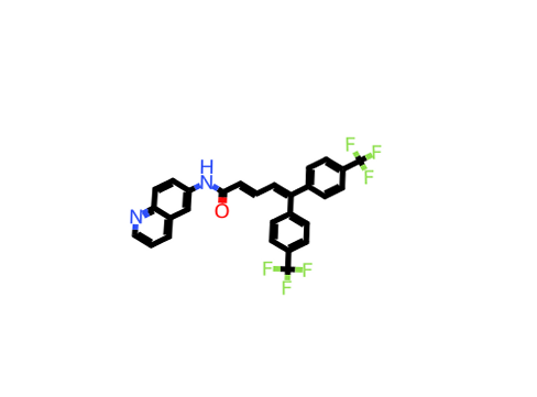 O=C(C=CC=C(c1ccc(C(F)(F)F)cc1)c1ccc(C(F)(F)F)cc1)Nc1ccc2ncccc2c1